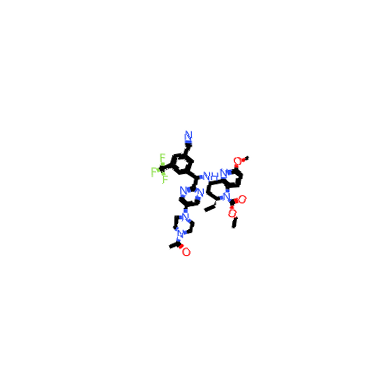 CCOC(=O)N1c2ccc(OC)nc2[C@@H](NC(c2cc(C#N)cc(C(F)(F)F)c2)c2ncc(N3CCN(C(C)=O)CC3)cn2)C[C@H]1CC